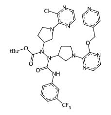 CC(C)(C)OC(=O)N(C1CCN(c2nccnc2Cl)C1)N(C(=O)Nc1cccc(C(F)(F)F)c1)C1CCN(c2nccnc2OCc2ccncc2)C1